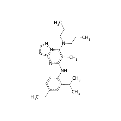 CCCN(CCC)c1c(C)c(Nc2ccc(CC)cc2C(C)C)nc2ccnn12